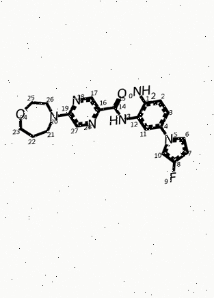 Nc1ccc(-n2ccc(F)c2)cc1NC(=O)c1cnc(N2CCCOCC2)cn1